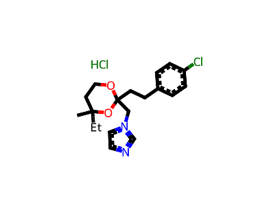 CCC1(C)CCOC(CCc2ccc(Cl)cc2)(Cn2ccnc2)O1.Cl